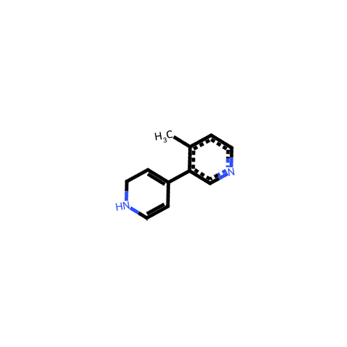 Cc1ccncc1C1=CCN[C]=C1